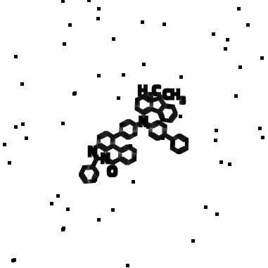 CC1(C)c2ccccc2-c2c(N(c3ccc(-c4ccccc4)cc3)c3ccc(-c4ccc5nc(-c6ccccc6)n6c(=O)c7ccccc7c4c56)cc3)cccc21